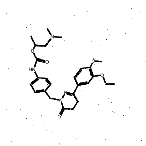 CCOc1cc(C2=NN(Cc3ccc(NC(=O)OC(C)CN(C)C)cc3)C(=O)CC2)ccc1OC